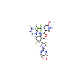 C[C@H]1CN(c2cc(F)c(C3=CCN(c4ncc(O)cn4)C3)c(F)c2NC(=O)c2c[nH]c(=O)cc2C(F)(F)F)CCN1C